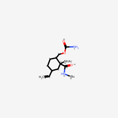 C=CC1CCC(COC(N)=O)C(NC(C)=O)(C(=O)NC(C)(C)C)C1